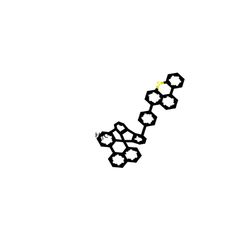 CC1CC=CC2=C1C1(c3ccccc3-c3cccc4cccc1c34)c1cccc(-c3ccc(-c4ccc5c6c(cccc46)-c4ccccc4S5)cc3)c12